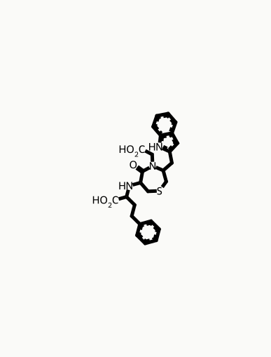 O=C(O)CN1C(=O)C(NC(CCc2ccccc2)C(=O)O)CSCC1Cc1cc2ccccc2[nH]1